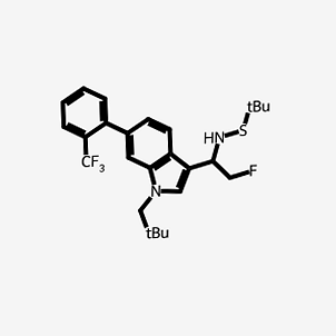 CC(C)(C)Cn1cc(C(CF)NSC(C)(C)C)c2ccc(-c3ccccc3C(F)(F)F)cc21